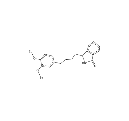 CCOc1ccc(CCCCC2NC(=O)c3ccccc32)cc1OCC